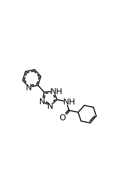 O=C(Nc1nnc(-c2ccccn2)[nH]1)C1CC=CCC1